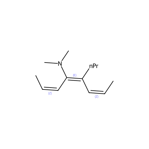 C\C=C/C(CCC)=C(\C=C/C)N(C)C